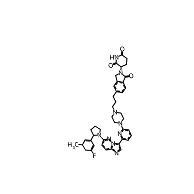 CC1C=C(C2CCCN2c2ccc3ncc(-c4cccc(N5CCN(CCCc6ccc7c(c6)CN(C6CCC(=O)NC6=O)C7=O)CC5)n4)n3n2)C=C(F)C1